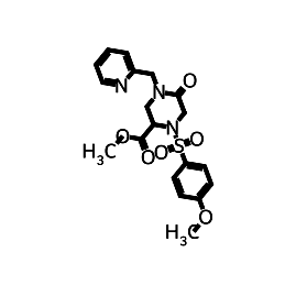 COC(=O)C1CN(Cc2ccccn2)C(=O)CN1S(=O)(=O)c1ccc(OC)cc1